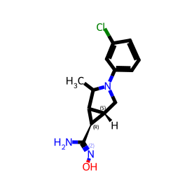 CC1C2[C@H](CN1c1cccc(Cl)c1)[C@H]2/C(N)=N/O